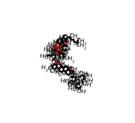 CC(C)CCC[C@@H](C)[C@H]1CC[C@H]2[C@@H]3CC[C@H]4C[C@@H](OC(=O)N[C@H]5C(CO)O[C@@H](OC(=O)[C@]67CCC(C)(C)CC6C6=CCC8C9(C)CC[C@H](O[C@@H]%10OC(C(=O)O)[C@@H](O)[C@H](O[C@@H]%11OC[C@@H](O)[C@H](O)C%11O)C%10O[C@@H]%10OC(CO)[C@H](O)[C@H](O)C%10O)[C@](C)(C=O)[C@@H]9CC[C@]8(C)[C@]6(C)CC7O)C(O[C@@H]6OC(C)[C@H](O[C@@H]7OC[C@@H](O)C(O[C@@H]8OCC(O)(CO)[C@@H]8O)C7O)C(O)C6O)C5O)CC[C@]4(C)[C@H]3CC[C@]12C